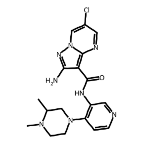 CC1CN(c2ccncc2NC(=O)c2c(N)nn3cc(Cl)cnc23)CCN1C